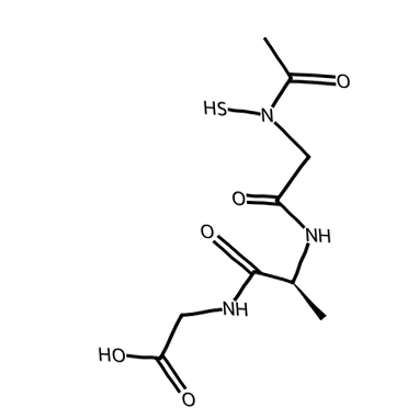 CC(=O)N(S)CC(=O)N[C@@H](C)C(=O)NCC(=O)O